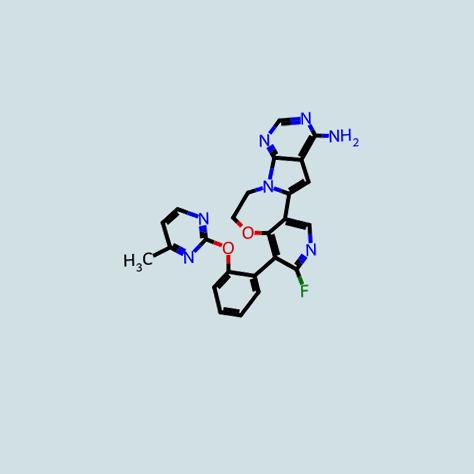 Cc1ccnc(Oc2ccccc2-c2c(F)ncc3c2OCCn2c-3cc3c(N)ncnc32)n1